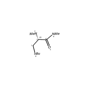 CCCCC[C@H](NC)C(=O)NC